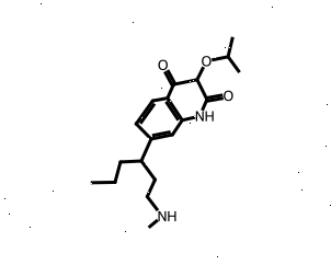 CCCC(CCNC)c1ccc2c(c1)NC(=O)C(OC(C)C)C2=O